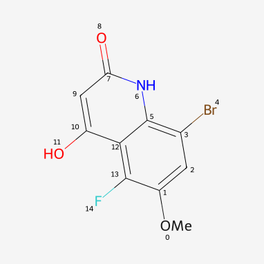 COc1cc(Br)c2[nH]c(=O)cc(O)c2c1F